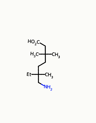 CCC(C)(CN)CCC(C)(C)CC(=O)O